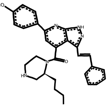 CCCC[C@H]1CNCCN1C(=O)c1cc(-c2ccc(O)cc2)nc2[nH]nc(C=Cc3ccccc3)c12